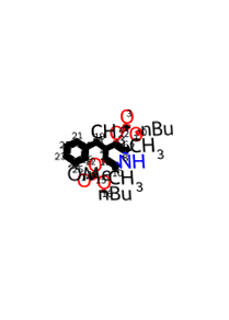 CCCCOC(=O)OC1=C(C)NC(C)=C(OC(=O)OCCCC)C1C(C)c1cccc(OC)c1